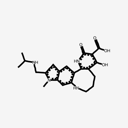 CC(C)NCc1cc2cc3c(cc2n1C)NCCCc1c-3[nH]c(=O)c(C(=O)O)c1O